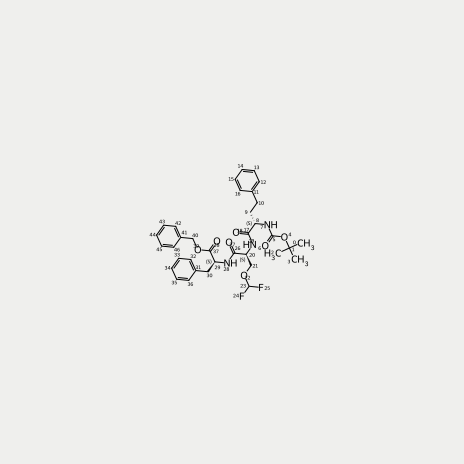 CC(C)(C)OC(=O)N[C@@H](CCc1ccccc1)C(=O)N[C@@H](COC(F)F)C(=O)N[C@@H](Cc1ccccc1)C(=O)OCc1ccccc1